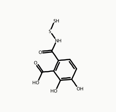 O=C(NSS)c1ccc(O)c(O)c1C(=O)O